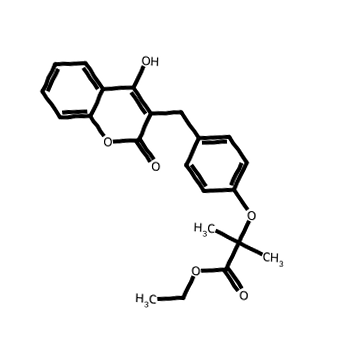 CCOC(=O)C(C)(C)Oc1ccc(Cc2c(O)c3ccccc3oc2=O)cc1